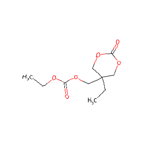 CCOC(=O)OCC1(CC)COC(=O)OC1